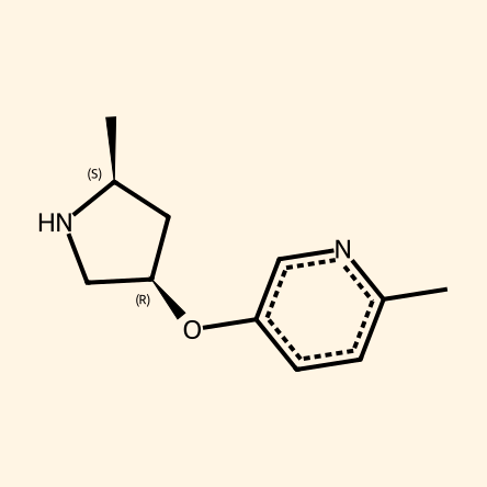 Cc1ccc(O[C@H]2CN[C@@H](C)C2)cn1